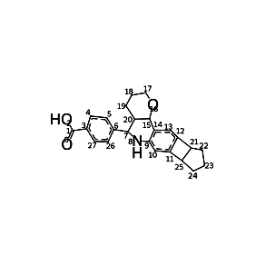 O=C(O)c1ccc(C2Nc3cc4c(cc3C3OCCCC23)C2CCCC42)cc1